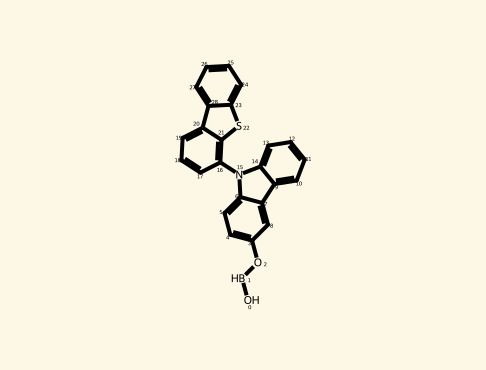 OBOc1ccc2c(c1)c1ccccc1n2-c1cccc2c1sc1ccccc12